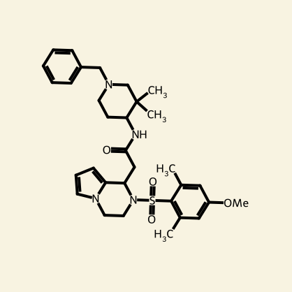 COc1cc(C)c(S(=O)(=O)N2CCn3cccc3C2CC(=O)NC2CCN(Cc3ccccc3)CC2(C)C)c(C)c1